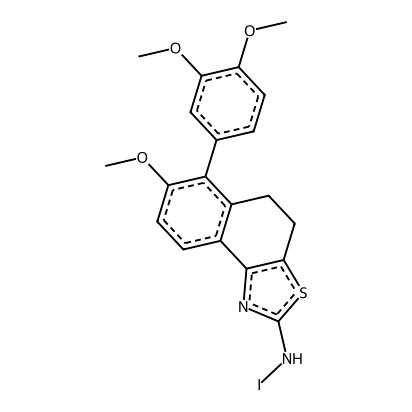 COc1ccc(-c2c(OC)ccc3c2CCc2sc(NI)nc2-3)cc1OC